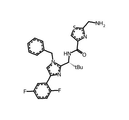 CC(C)(C)[C@@H](NC(=O)c1csc(CN)n1)c1nc(-c2cc(F)ccc2F)cn1Cc1ccccc1